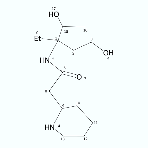 CCC(CCO)(NC(=O)CC1CCCCN1)C(C)O